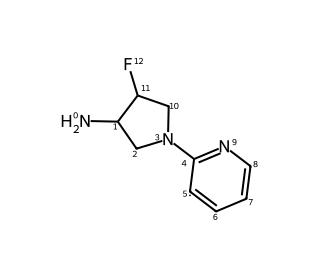 NC1CN(c2[c]cccn2)CC1F